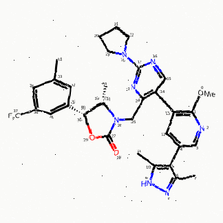 COc1ncc(-c2c(C)n[nH]c2C)cc1-c1cnc(N2CCCC2)nc1CN1C(=O)O[C@H](c2cc(C)cc(C(F)(F)F)c2)[C@@H]1C